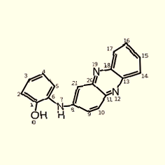 Oc1ccccc1Nc1ccc2nc3ccccc3nc2c1